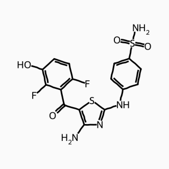 Nc1nc(Nc2ccc(S(N)(=O)=O)cc2)sc1C(=O)c1c(F)ccc(O)c1F